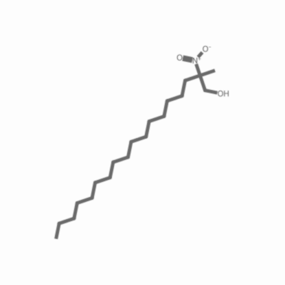 CCCCCCCCCCCCCCCCC(C)(CO)[N+](=O)[O-]